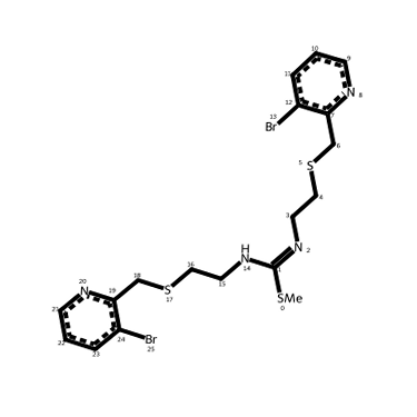 CSC(=NCCSCc1ncccc1Br)NCCSCc1ncccc1Br